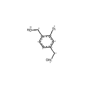 CCc1cc(CC=O)ccc1CO